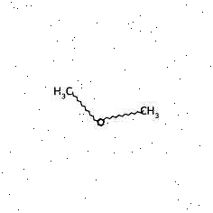 CCCCCCCCCCCCCc1cccc(CCCCCCCCCCCCC)c1